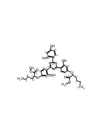 CCCCC(Oc1ccc(-c2nc(-c3ccc(O)cc3O)nc(-c3ccc(OC(CCCC)C(=O)OC)cc3O)n2)c(O)c1)C(=O)OC